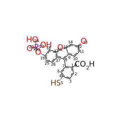 O=C(O)c1ccc(S)cc1-c1c2ccc(=O)cc-2oc2cc(OP(=O)(O)O)ccc12